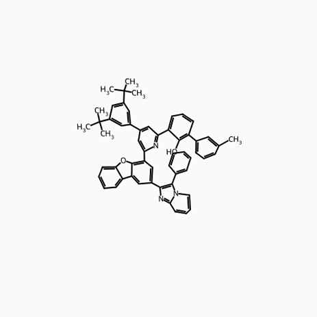 Cc1cccc(-c2cccc(-c3cc(-c4cc(C(C)(C)C)cc(C(C)(C)C)c4)cc(-c4cc(-c5nc6ccccn6c5-c5ccccc5)cc5c4oc4ccccc45)n3)c2O)c1